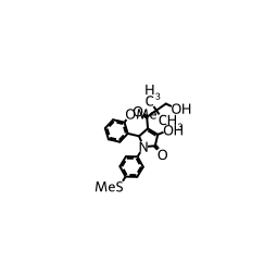 COc1ccccc1C1C(C(=O)C(C)(C)CO)=C(O)C(=O)N1c1ccc(SC)cc1